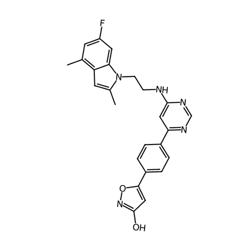 Cc1cc(F)cc2c1cc(C)n2CCNc1cc(-c2ccc(-c3cc(O)no3)cc2)ncn1